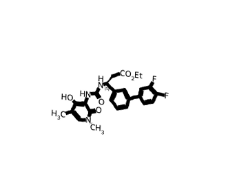 CCOC(=O)C[C@H](NC(=O)Nc1c(O)c(C)cn(C)c1=O)c1cccc(-c2ccc(F)c(F)c2)c1